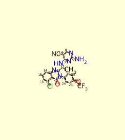 CC(Nc1nc(N)ncc1C#N)c1nc2cccc(Cl)c2c(=O)n1-c1ccc(OC(F)(F)F)cc1